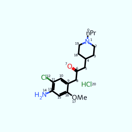 CCCN1CCC(CC(=O)Cc2cc(Cl)c(N)cc2OC)CC1.Cl